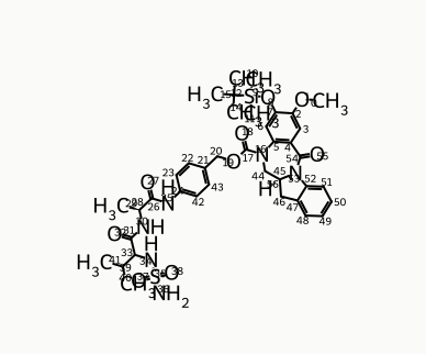 COc1cc2c(cc1O[Si](C)(C)C(C)(C)C)N(C(=O)OCc1ccc(NC(=O)[C@H](C)NC(=O)C(NS(N)(=O)=O)C(C)C)cc1)C[C@@H]1Cc3ccccc3N1C2=O